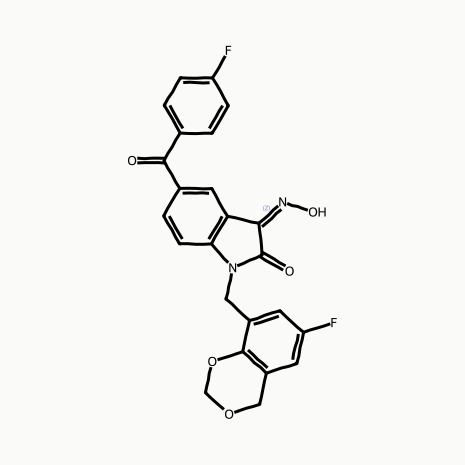 O=C(c1ccc(F)cc1)c1ccc2c(c1)/C(=N/O)C(=O)N2Cc1cc(F)cc2c1OCOC2